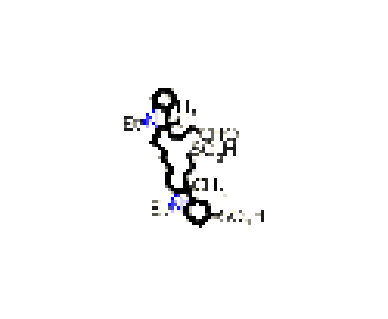 CCN1/C(=C/C=C/C=C/C2=[N+](CC)c3ccc(S(=O)(=O)O)cc3C2(C)CCCS(=O)(=O)O)C(C)(CCCC=O)c2ccccc21